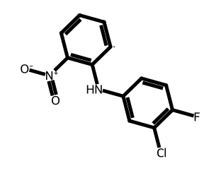 O=[N+]([O-])c1ccc[c]c1Nc1ccc(F)c(Cl)c1